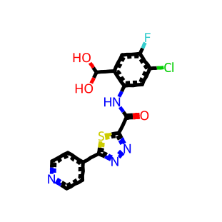 O=C(Nc1cc(Cl)c(F)cc1C(O)O)c1nnc(-c2ccncc2)s1